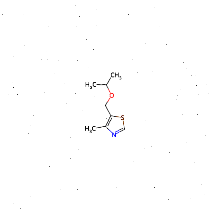 Cc1ncsc1COC(C)C